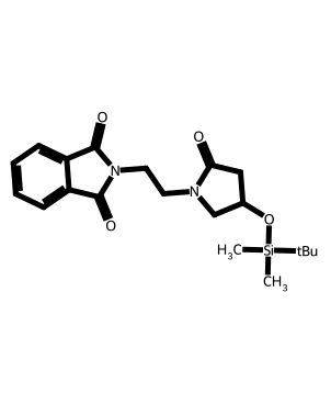 CC(C)(C)[Si](C)(C)OC1CC(=O)N(CCN2C(=O)c3ccccc3C2=O)C1